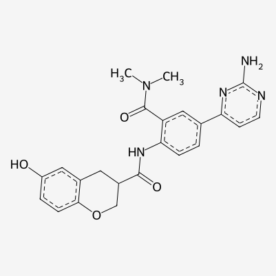 CN(C)C(=O)c1cc(-c2ccnc(N)n2)ccc1NC(=O)C1COc2ccc(O)cc2C1